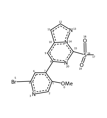 COc1cnc(Br)cc1-c1cc2ccnn2c(S(C)(=O)=O)n1